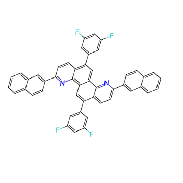 Fc1cc(F)cc(-c2cc3c(cc(-c4cc(F)cc(F)c4)c4ccc(-c5ccc6ccccc6c5)nc43)c3nc(-c4ccc5ccccc5c4)ccc23)c1